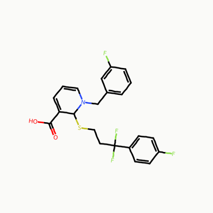 O=C(O)C1=CC=CN(Cc2cccc(F)c2)C1SCCC(F)(F)c1ccc(F)cc1